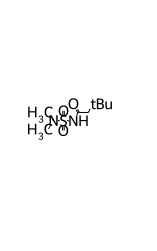 CN(C)S(=O)(=O)NC(=O)CC(C)(C)C